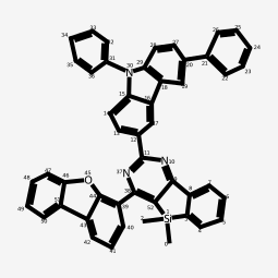 C[Si]1(C)c2ccccc2-c2nc(-c3ccc4c(c3)c3cc(-c5ccccc5)ccc3n4-c3ccccc3)nc(-c3cccc4c3oc3ccccc34)c21